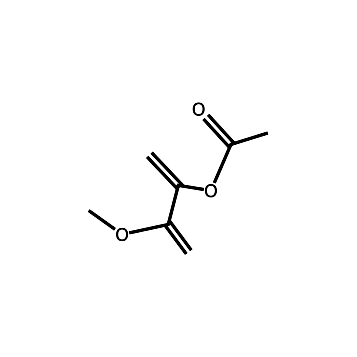 C=C(OC)C(=C)OC(C)=O